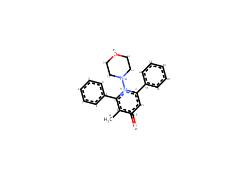 Cc1c(-c2ccccc2)n(N2CCOCC2)c(-c2ccccc2)cc1=O